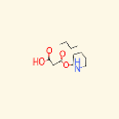 CCCC.O=C(O)CC(=O)OC1CCCCN1